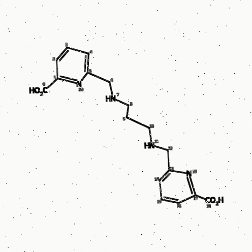 O=C(O)c1cccc(CNCCCNCc2cccc(C(=O)O)n2)n1